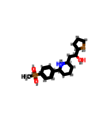 CS(=O)(=O)c1ccc(C2CCCC(C[C@H](O)C3CCCS3)N2)cc1